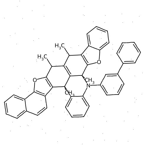 CC1C2=C3C(C)(c4ccccc4N(c4cccc(-c5ccccc5)c4)C3(C)c3oc4ccccc4c3C2C)c2c1oc1c2ccc2ccccc21